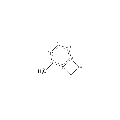 Cc1cccc2c1CC2